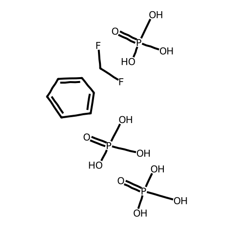 FCF.O=P(O)(O)O.O=P(O)(O)O.O=P(O)(O)O.c1ccccc1